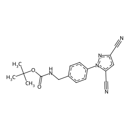 CC(C)(C)OC(=O)NCc1ccc(-n2nc(C#N)cc2C#N)cc1